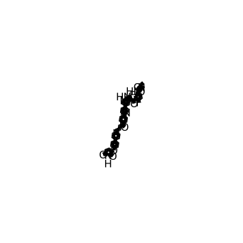 CCN(C)S(=O)(=O)Nc1ccc(F)c(C(=O)c2c[nH]c3ncc(-c4ccc(N5CCN(C(=O)CCCN6CCC(c7ccc(OC8CCC(=O)NC8=O)cc7)CC6)CC5)nc4)cc23)c1F